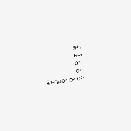 [Bi+3].[Bi+3].[Fe+2].[Fe+2].[O-2].[O-2].[O-2].[O-2].[O-2]